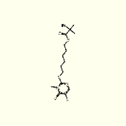 CC(C)C(C)(C)C(=O)OCCCCCCSc1ncc(F)c(=O)n1C